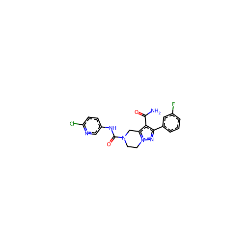 NC(=O)c1c(-c2cccc(F)c2)nn2c1CN(C(=O)Nc1ccc(Cl)nc1)CC2